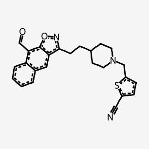 N#Cc1ccc(CN2CCC(CCc3noc4c(C=O)c5ccccc5cc34)CC2)s1